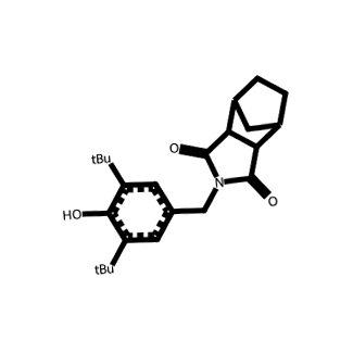 CC(C)(C)c1cc(CN2C(=O)C3C4CCC(C4)C3C2=O)cc(C(C)(C)C)c1O